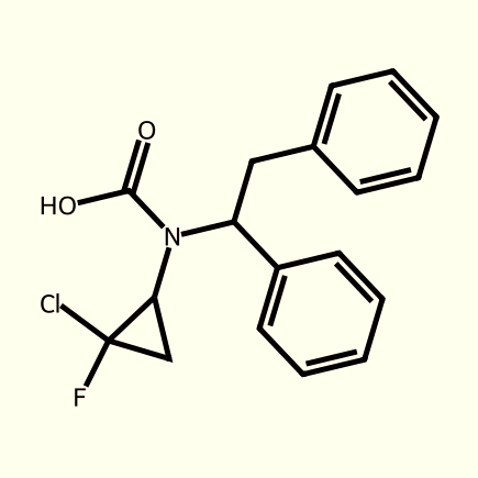 O=C(O)N(C(Cc1ccccc1)c1ccccc1)C1CC1(F)Cl